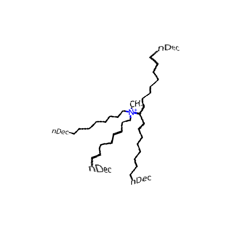 CCCCCCCCCCCCCCCCCCC(CCCCCCCCCCCCCCCCCC)[N+](C)(CCCCCCCCCCCCCCCCCC)CCCCCCCCCCCCCCCCCC